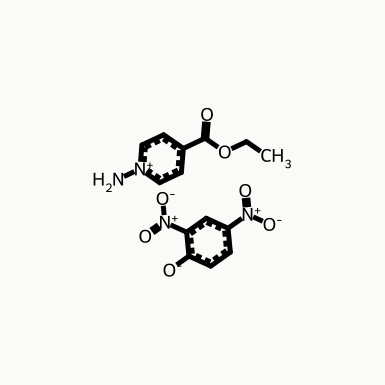 CCOC(=O)c1cc[n+](N)cc1.O=[N+]([O-])c1ccc([O-])c([N+](=O)[O-])c1